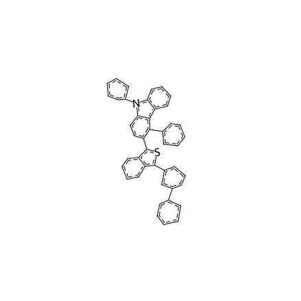 c1ccc(-c2cccc(-c3sc(-c4ccc5c(c4-c4ccccc4)c4ccccc4n5-c4ccccc4)c4ccccc34)c2)cc1